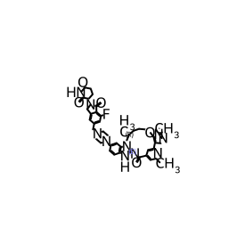 Cc1cc2cc(n1)-c1cnn(C)c1OCCC[C@@H](C)CN1/C(=N/C2=O)Nc2ccc(N3CCN(Cc4cc(F)c5c(c4)CN(C4CCC(=O)NC4=O)C5=O)CC3)cc21